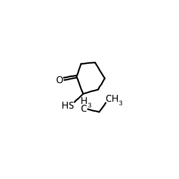 CCC.O=C1CCCCC1S